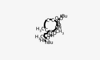 CCCCNC(=O)[C@H](C)C[C@H](O)[C@@H]1C[C@H](C)CCCCCCC[C@H](NC(=O)OC(C)(C)C)C(=O)N[C@@H](C)C(=O)N1